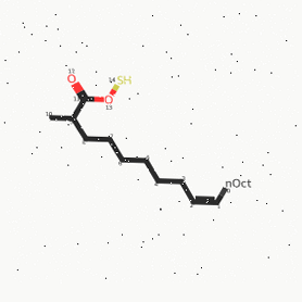 CCCCCCCC/C=C\CCCCCCC(C)C(=O)OS